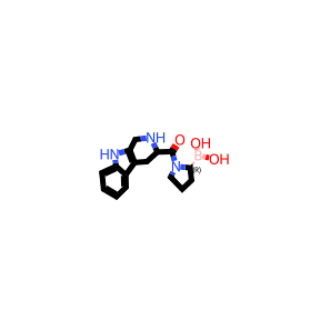 O=C(C1Cc2c([nH]c3ccccc23)CN1)N1CCC[C@H]1B(O)O